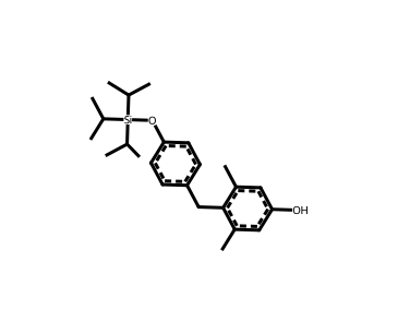 Cc1cc(O)cc(C)c1Cc1ccc(O[Si](C(C)C)(C(C)C)C(C)C)cc1